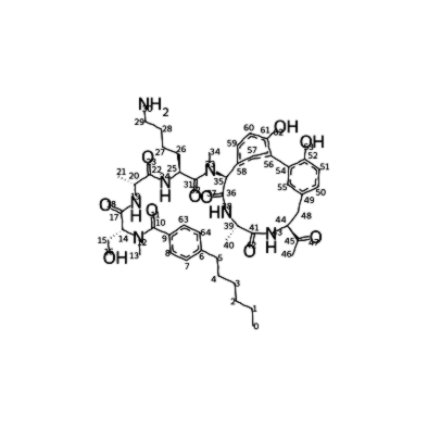 CCCCCCc1ccc(C(=O)N(C)[C@H](CO)C(=O)N[C@H](C)C(=O)N[C@@H](CCCCN)C(=O)N(C)[C@@H]2C(=O)N[C@@H](C)C(=O)N[C@H](C(C)=O)Cc3ccc(O)c(c3)-c3cc2ccc3O)cc1